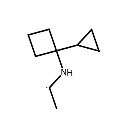 C[CH]NC1(C2CC2)CCC1